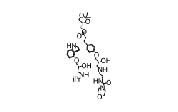 CC(C)NCC(O)COc1cccc2[nH]ccc12.CC1(C)OC[C@@H](COC(=O)CCc2ccc(OC[C@@H](O)CNCCNC(=O)N3CCOCC3)cc2)O1